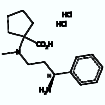 CN(CC[C@H](N)c1ccccc1)C1(C(=O)O)CCCC1.Cl.Cl